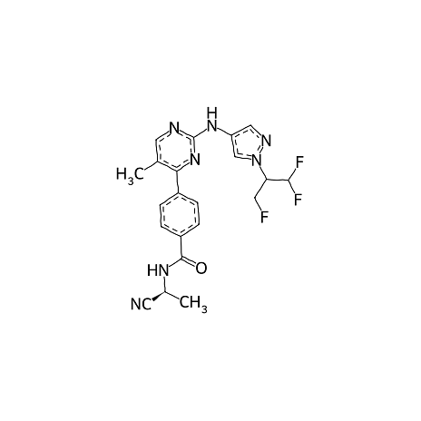 Cc1cnc(Nc2cnn(C(CF)C(F)F)c2)nc1-c1ccc(C(=O)N[C@@H](C)C#N)cc1